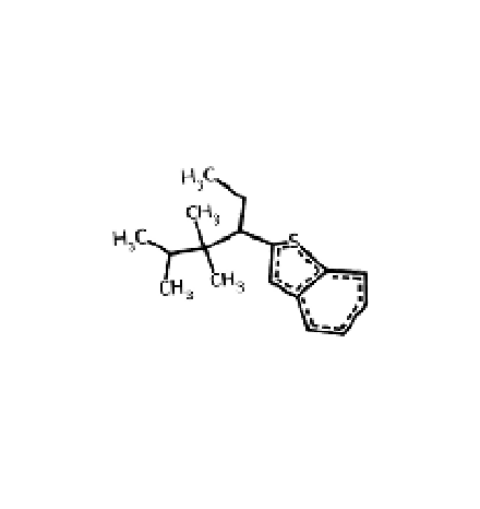 CCC(c1cc2ccccc2s1)C(C)(C)C(C)C